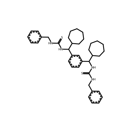 S=C(NCc1ccccc1)NC(c1cccc(C(NC(=S)NCc2ccccc2)C2CCCCCC2)c1)C1CCCCCC1